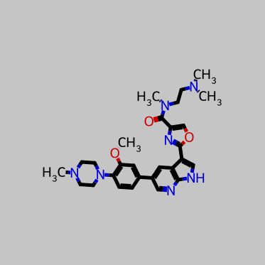 COc1cc(-c2cnc3[nH]cc(-c4nc(C(=O)N(C)CCN(C)C)co4)c3c2)ccc1N1CCN(C)CC1